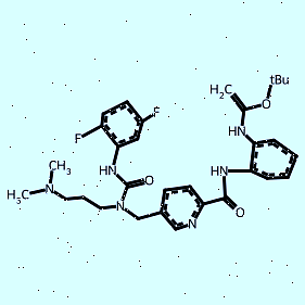 C=C(Nc1ccccc1NC(=O)c1ccc(CN(CCCN(C)C)C(=O)Nc2cc(F)ccc2F)cn1)OC(C)(C)C